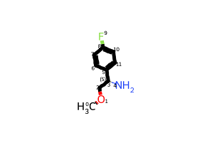 COC[C@@H](N)c1ccc(F)cc1